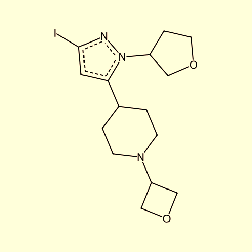 Ic1cc(C2CCN(C3COC3)CC2)n(C2CCOC2)n1